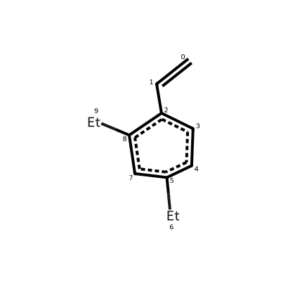 C=Cc1ccc(CC)cc1CC